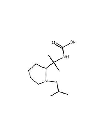 CC(C)CN1CCCCC1C(C)(C)NC(=O)O